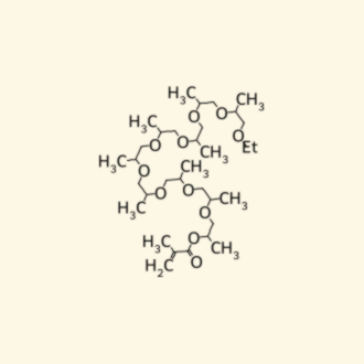 C=C(C)C(=O)OC(C)COC(C)COC(C)COC(C)COC(C)COC(C)COC(C)COC(C)COC(C)COCC